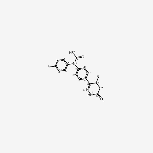 Cc1ccc(N(C(=O)S)c2ccc(C3=NNC(=O)CC3C)cc2)cc1